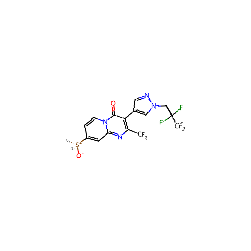 C[S@@+]([O-])c1ccn2c(=O)c(-c3cnn(CC(F)(F)C(F)(F)F)c3)c(C(F)(F)F)nc2c1